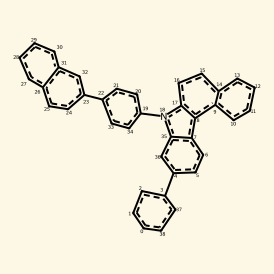 c1ccc(-c2ccc3c4c5ccccc5ccc4n(-c4ccc(-c5ccc6ccccc6c5)cc4)c3c2)cc1